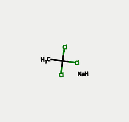 CC(Cl)(Cl)Cl.[NaH]